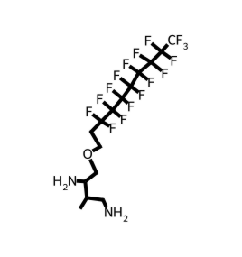 CC(CN)C(N)COCCC(F)(F)C(F)(F)C(F)(F)C(F)(F)C(F)(F)C(F)(F)C(F)(F)C(F)(F)F